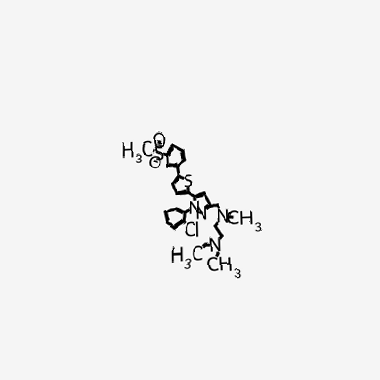 CCN(CC)CCN(C)Cc1cc(-c2ccc(-c3cccc(S(C)(=O)=O)c3)s2)n(-c2ccccc2Cl)n1